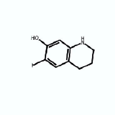 Oc1cc2c(cc1I)CCCN2